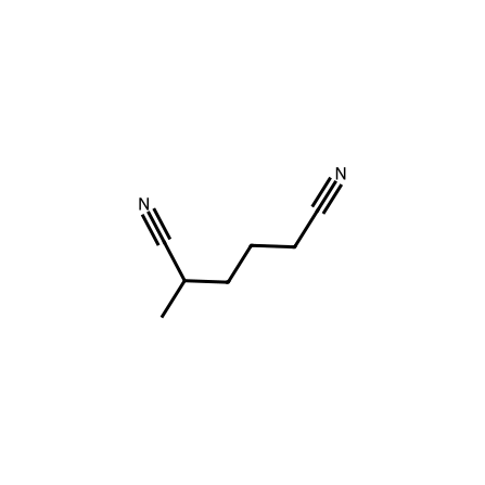 CC(C#N)CCCC#N